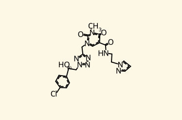 Cn1c(=O)c(C(=O)NCCn2cccn2)cn(Cc2nnn(C[C@H](O)c3ccc(Cl)cc3)n2)c1=O